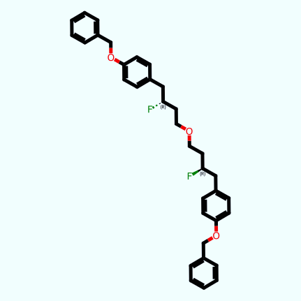 F[C@@H](CCOCC[C@H](F)Cc1ccc(OCc2ccccc2)cc1)Cc1ccc(OCc2ccccc2)cc1